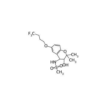 CC1(C)Oc2ccc(OCCCC(F)(F)F)cc2C(NS(C)(=O)=O)C1O